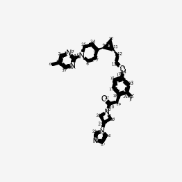 Cc1cnc(N2CCC([C@H]3C[C@H]3CCOc3ccc(CC(=O)N4CC(n5ccnc5)C4)c(F)c3)CC2)nc1